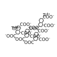 O=C([O-])c1cc(C(=O)[O-])c2cc(C(=O)[O-])ccc2c1.O=C([O-])c1cc(C(=O)[O-])c2cc(C(=O)[O-])ccc2c1.O=C([O-])c1cc(C(=O)[O-])c2cc(C(=O)[O-])ccc2c1.O=C([O-])c1cc(C(=O)[O-])c2cc(C(=O)[O-])ccc2c1.[Ti+4].[Ti+4].[Ti+4]